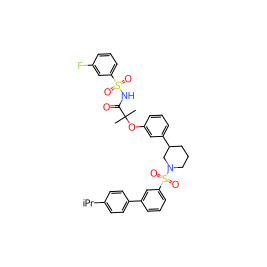 CC(C)c1ccc(-c2cccc(S(=O)(=O)N3CCCC(c4cccc(OC(C)(C)C(=O)NS(=O)(=O)c5cccc(F)c5)c4)C3)c2)cc1